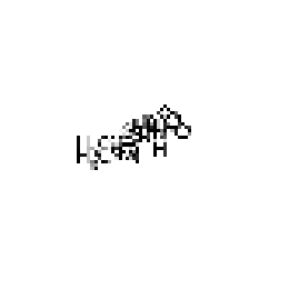 CC1(C)Cn2ncc([S@](N)(=O)=NC(=O)Nc3c4c(cc5c3CC5)CCC4)c2O1